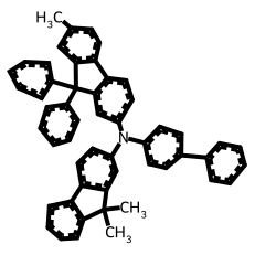 Cc1ccc2c(c1)C(c1ccccc1)(c1ccccc1)c1cc(N(c3ccc(-c4ccccc4)cc3)c3ccc4c(c3)C(C)(C)c3ccccc3-4)ccc1-2